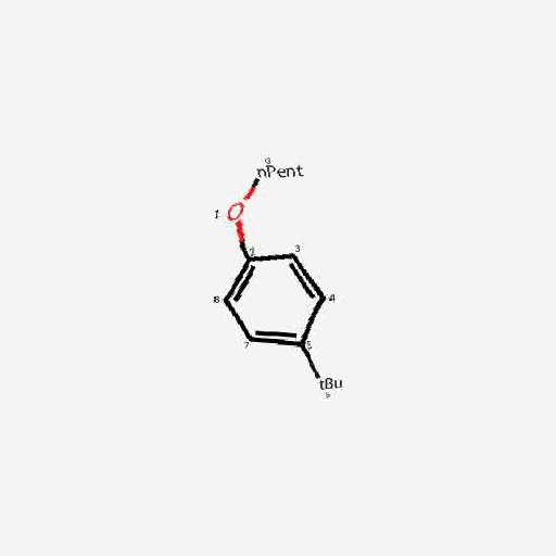 [CH2]CCCCOc1ccc(C(C)(C)C)cc1